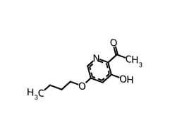 CCCCOc1cnc(C(C)=O)c(O)c1